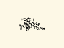 COc1cc2c3c([nH]c2cc1F)[C@@H](c1cccc(O)c1)N1C(=O)N(CCN(C)C)C(=O)[C@]1(C)C3